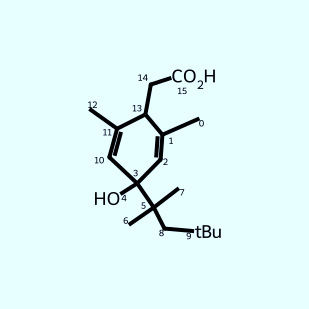 CC1=CC(O)(C(C)(C)CC(C)(C)C)C=C(C)C1CC(=O)O